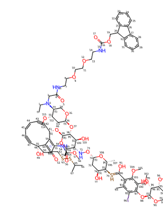 CCN(CC(=O)NCCOCCOCCNC(=O)OCC1c2ccccc2-c2ccccc21)[C@H]1CO[C@@H](O[C@H]2[C@H](O[C@H]3C#CC=CC#C[C@]4(O)CC(=O)C(NC(=O)OC)=C3/C4=C\CSSC(C)C)O[C@H](C)[C@@H](NO[C@H]3C[C@H](O)[C@H]([SH]=C(O)c4c(C)c(I)c(O[C@@H]5O[C@@H](C)[C@H](O)[C@@H](OC)[C@H]5O)c(OC)c4OC)[C@@H](C)O3)[C@@H]2O)C[C@@H]1OC